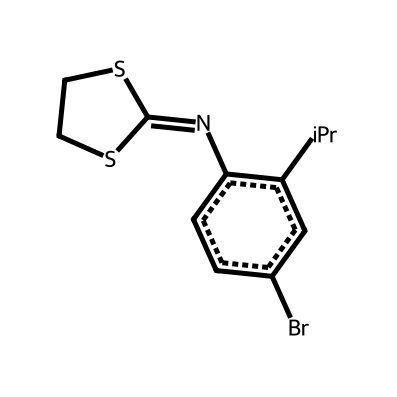 CC(C)c1cc(Br)ccc1N=C1SCCS1